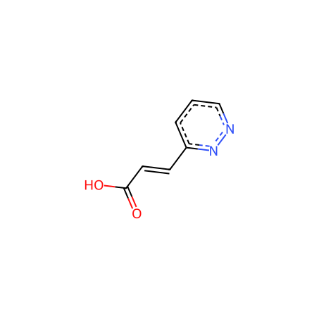 O=C(O)C=Cc1cccnn1